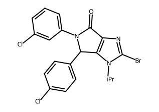 CC(C)n1c(Br)nc2c1C(c1ccc(Cl)cc1)N(c1cccc(Cl)c1)C2=O